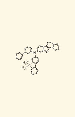 CC1(C)c2ccccc2-c2ccc(N(c3cccc(-c4ccccc4)c3)c3ccc4c(c3)oc3c5ccccc5ccc43)cc21